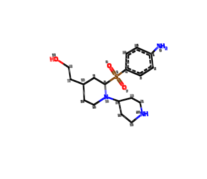 Nc1ccc(S(=O)(=O)C2CC(CCO)CCN2C2CCNCC2)cc1